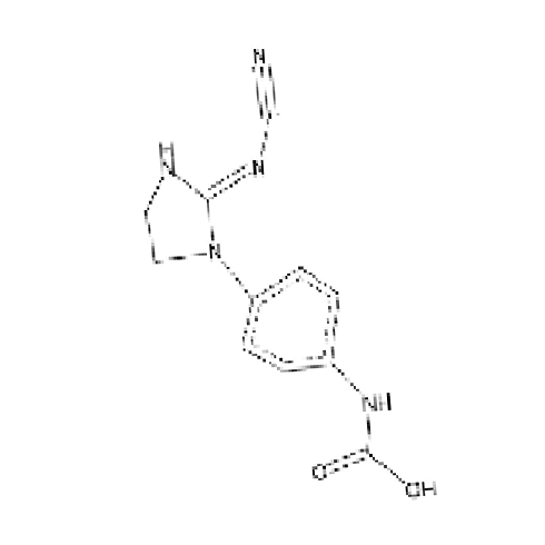 N#CN=C1NCCN1c1ccc(NC(=O)O)cc1